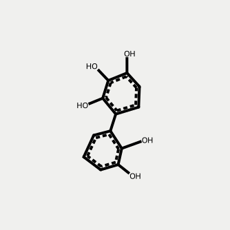 Oc1cccc(-c2ccc(O)c(O)c2O)c1O